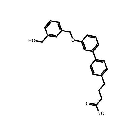 O=NC(=O)CCCc1ccc(-c2cccc(OCc3cccc(CO)c3)c2)cc1